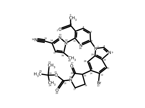 CC(=O)c1ccc(-n2cnc3cc(Br)c(C4CCN(C(=O)OC(C)(C)C)C4=O)cc32)nc1-n1nc(C#N)cc1C